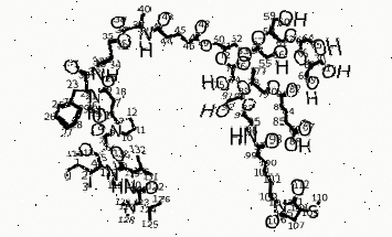 CC[C@H](C)[C@@H]([C@@H](CC(=O)N1CCC[C@H]1[C@H](OC)[C@@H](C)C(=O)N[C@@H](Cc1ccccc1)C(=O)NCCCOC(=O)C(C)NC(=O)CCCC(=O)OCC(COC(CO)OC(CO)COC(CO)OC(CO)CO)OC(CO)OCC(COC(=O)CCCC(=O)O)OC(CO)OCCNC(=O)CCCCCN1C(=O)CC(SC)C1=O)OC)N(C)C(=O)[C@@H](NC(=O)[C@H](C(C)C)N(C)C)C(C)C